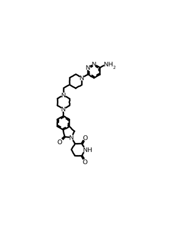 Nc1ccc(N2CCC(CN3CCN(c4ccc5c(c4)CN(C4CCC(=O)NC4=O)C5=O)CC3)CC2)nn1